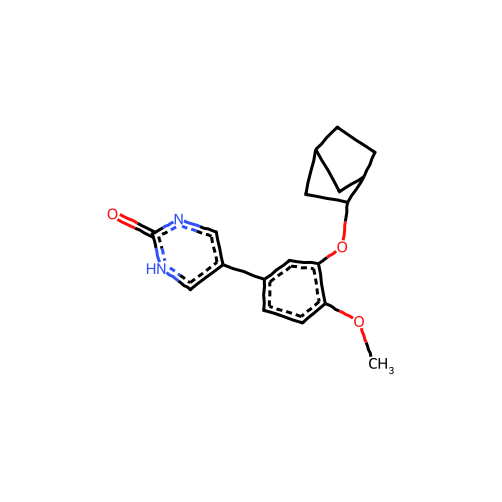 COc1ccc(-c2cnc(=O)[nH]c2)cc1OC1CC2CCC1C2